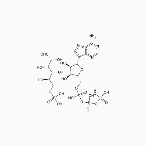 Nc1ncnc2c1ncn2[C@@H]1O[C@H](COP(=O)(O)OP(=O)(O)OP(=O)(O)O)[C@@H](O)[C@H]1O.O=C[C@H](O)[C@@H](O)[C@H](O)[C@H](O)COP(=O)(O)O